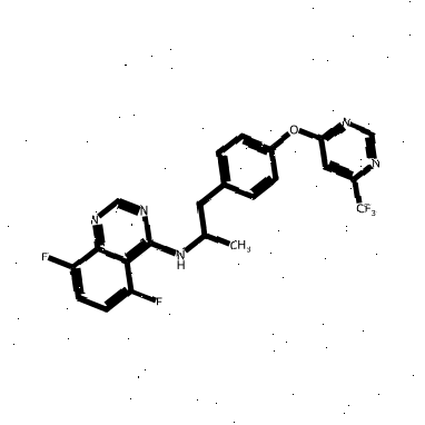 CC(Cc1ccc(Oc2cc(C(F)(F)F)ncn2)cc1)Nc1ncnc2c(F)ccc(F)c12